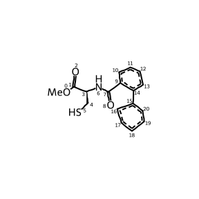 COC(=O)[C@H](CS)NC(=O)c1ccccc1-c1ccccc1